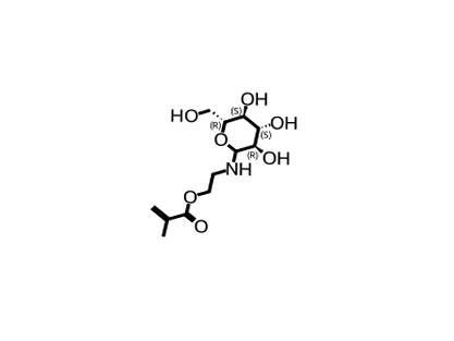 C=C(C)C(=O)OCCNC1O[C@H](CO)[C@@H](O)[C@H](O)[C@H]1O